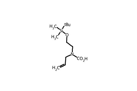 C=CCN(CCO[Si](C)(C)C(C)(C)C)C(=O)O